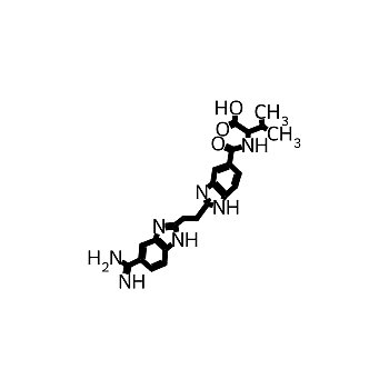 CC(C)C(NC(=O)c1ccc2[nH]c(CCc3nc4cc(C(=N)N)ccc4[nH]3)nc2c1)C(=O)O